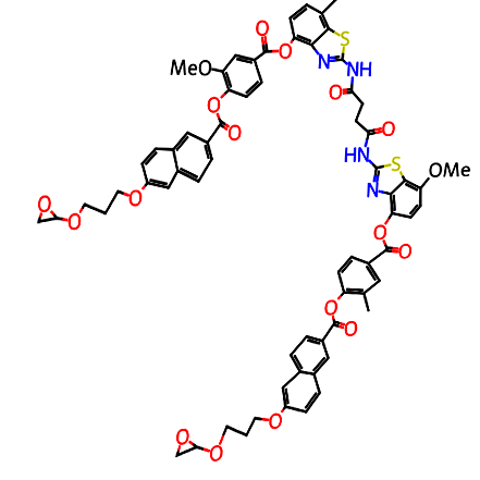 COc1cc(C(=O)Oc2ccc(C)c3sc(NC(=O)CCC(=O)Nc4nc5c(OC(=O)c6ccc(OC(=O)c7ccc8cc(OCCCOC9CO9)ccc8c7)c(C)c6)ccc(OC)c5s4)nc23)ccc1OC(=O)c1ccc2cc(OCCCOC3CO3)ccc2c1